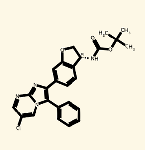 CC(C)(C)OC(=O)N[C@H]1COc2cc(-c3nc4ncc(Cl)cn4c3-c3ccccc3)ccc21